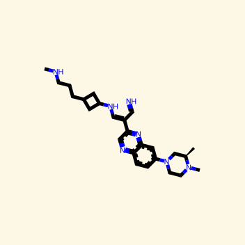 CNCCCC1CC(N/C=C(\C=N)c2cnc3ccc(N4CCN(C)[C@H](C)C4)cc3n2)C1